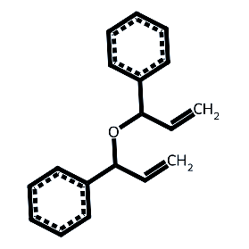 C=CC(OC(C=C)c1ccccc1)c1ccccc1